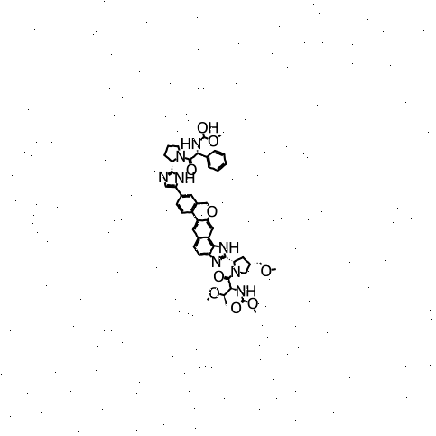 COC[C@H]1C[C@@H](c2nc3ccc4cc5c(cc4c3[nH]2)OCc2cc(-c3cnc([C@@H]4CCCN4C(=O)[C@H](NC(O)OC)c4ccccc4)[nH]3)ccc2-5)N(C(=O)[C@@H](NC(=O)OC)[C@@H](C)OC)C1